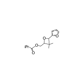 CC(C)C(=O)OCC1OC(c2ccco2)C1(C)C